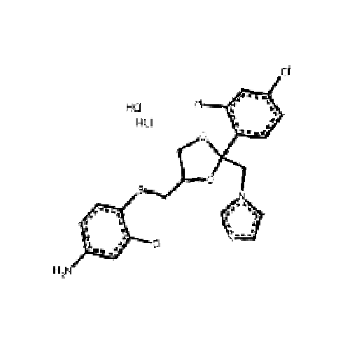 Cl.Cl.Nc1ccc(SCC2COC(Cn3ccnc3)(c3ccc(Cl)cc3Cl)O2)c(Cl)c1